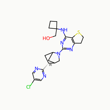 OCC1(Nc2nc(N3CC4CC3C[C@H]4c3ncc(Cl)cn3)nc3c2SCC3)CCC1